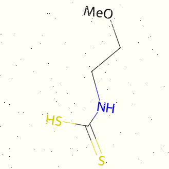 COCCNC(=S)S